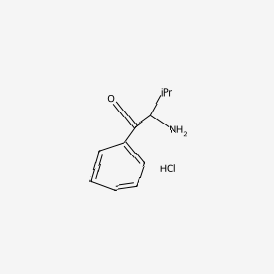 CC(C)C(N)C(=O)c1ccccc1.Cl